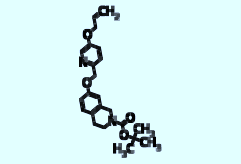 C=CCOc1ccc(COc2ccc3c(c2)CN(C(=O)OC(C)(C)C)CC3)nc1